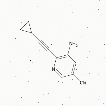 N#Cc1cnc(C#CC2CC2)c(N)c1